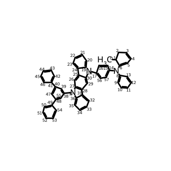 CC1CC=CC=C1N(c1ccccc1)c1ccc(-n2c3ccccc3c3cc4c(cc32)c2ccccc2n4-c2cc(-c3ccccc3)cc(-c3ccccc3)c2)cc1